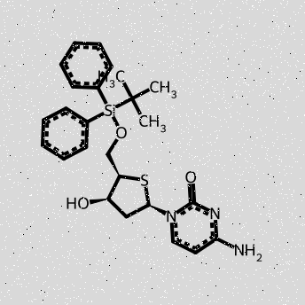 CC(C)(C)[Si](OC[C@H]1S[C@@H](n2ccc(N)nc2=O)C[C@H]1O)(c1ccccc1)c1ccccc1